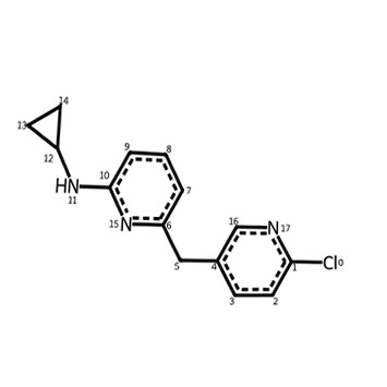 Clc1ccc(Cc2cccc(NC3CC3)n2)cn1